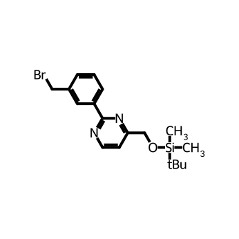 CC(C)(C)[Si](C)(C)OCc1ccnc(-c2cccc(CBr)c2)n1